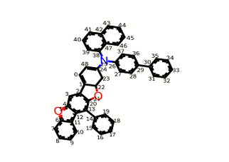 C1=C2c3cc4oc5ccccc5c4c(-c4ccccc4)c3OC2CC(N(c2ccc(-c3ccccc3)cc2)c2cccc3ccccc23)=C1